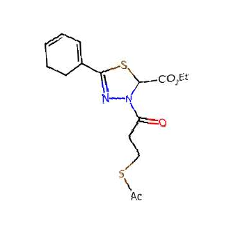 CCOC(=O)C1SC(C2=CC=CCC2)=NN1C(=O)CCSC(C)=O